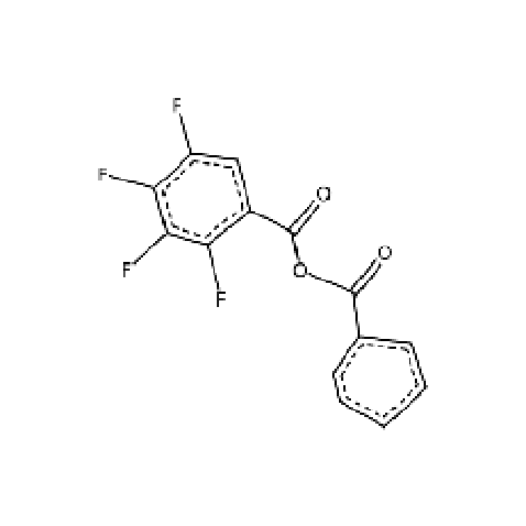 O=C(OC(=O)c1cc(F)c(F)c(F)c1F)c1ccccc1